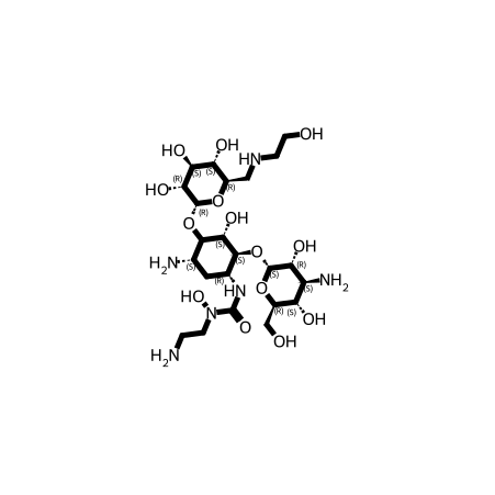 NCCN(O)C(=O)N[C@@H]1C[C@H](N)C(O[C@H]2O[C@H](CNCCO)[C@@H](O)[C@H](O)[C@H]2O)[C@H](O)[C@H]1O[C@H]1O[C@H](CO)[C@@H](O)[C@H](N)[C@H]1O